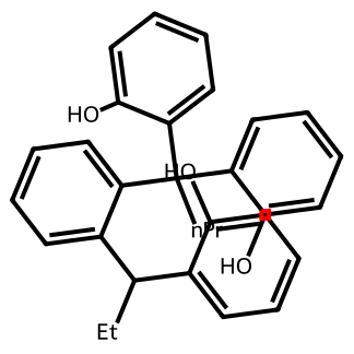 CCCC(c1ccccc1O)(c1ccccc1O)c1ccccc1C(CC)c1ccccc1O